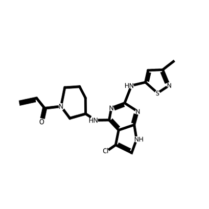 C=CC(=O)N1CCCC(Nc2nc(Nc3cc(C)ns3)nc3[nH]cc(Cl)c23)C1